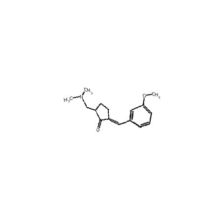 COc1cccc(/C=C2\CCC(CN(C)C)C2=O)c1